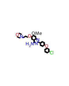 COc1cc2nc(-c3ccc(Oc4cccc(Cl)c4)cc3)nc(N)c2cc1OCCCN1CCOCC1